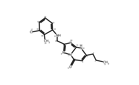 CCCc1cc(=O)n2nc(CNc3cccc(Cl)c3C)nc2[nH]1